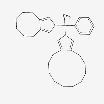 CC(c1ccccc1)(C1C=C2CCCCCCCCCCC2=C1)C1C=C2CCCCCCC2=C1